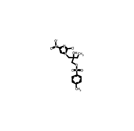 CCC(O)(COS(=O)(=O)c1ccc(C)cc1)Cn1cc([N+](=O)[O-])nc1Cl